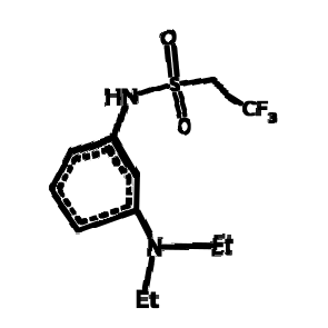 CCN(CC)c1cccc(NS(=O)(=O)CC(F)(F)F)c1